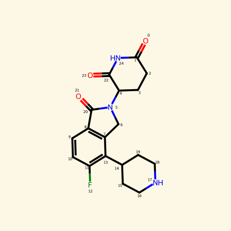 O=C1CCC(N2Cc3c(ccc(F)c3C3CCNCC3)C2=O)C(=O)N1